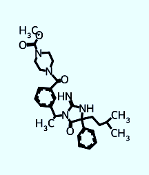 COC(=O)N1CCN(C(=O)c2cccc(C(C)N3C(=N)NC(CCC(C)C)(c4ccccc4)C3=O)c2)CC1